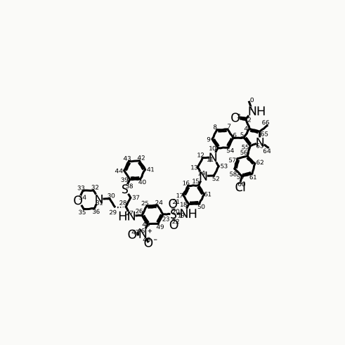 CNC(=O)c1c(-c2cccc(N3CCN(c4ccc(NS(=O)(=O)c5ccc(N[C@H](CCN6CCOCC6)CSc6ccccc6)c([N+](=O)[O-])c5)cc4)CC3)c2)c(-c2ccc(Cl)cc2)n(C)c1C